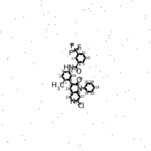 Cc1ccc(NC(=O)c2cccc(C(F)(F)F)c2)cc1-c1cc2cnc(Cl)cc2n(-c2ccccc2)c1=O